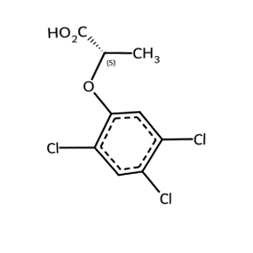 C[C@H](Oc1cc(Cl)c(Cl)cc1Cl)C(=O)O